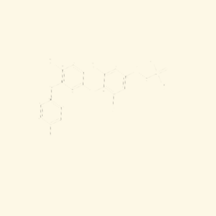 O=P(O)(O)COc1cc(Br)c(Oc2ccc(O)c(Cc3ccc(F)cc3)c2)c(Br)c1